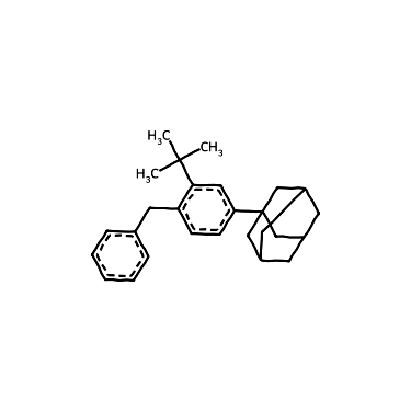 CC(C)(C)c1cc(C23CC4CC(CC(C4)C2)C3)ccc1Cc1ccccc1